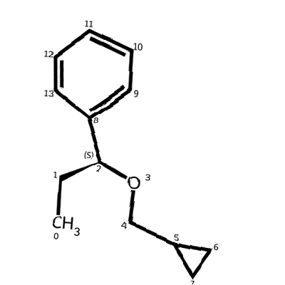 C[CH][C@H](OCC1CC1)c1ccccc1